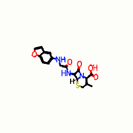 CC1=C(C(=O)O)N2C(=O)C(NC(=O)CNc3ccc4occc4c3)[C@@H]2SC1